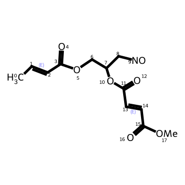 C/C=C/C(=O)OCC(CN=O)OC(=O)/C=C/C(=O)OC